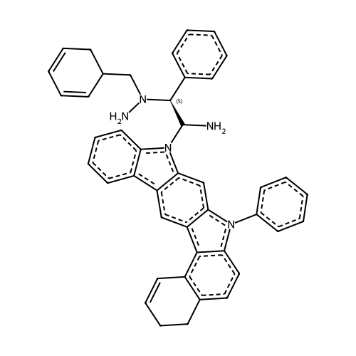 NC([C@H](c1ccccc1)N(N)CC1C=CC=CC1)n1c2ccccc2c2cc3c4c5c(ccc4n(-c4ccccc4)c3cc21)CCC=C5